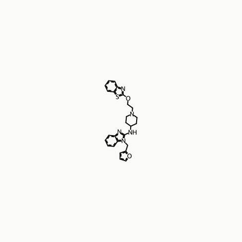 c1coc(Cn2c(NC3CCN(CCOc4nc5ccccc5s4)CC3)nc3ccccc32)c1